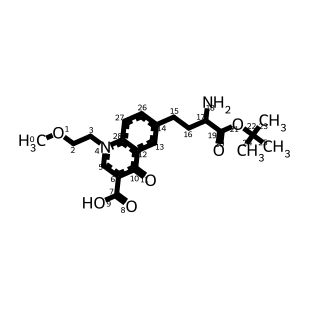 COCCn1cc(C(=O)O)c(=O)c2cc(CCC(N)C(=O)OC(C)(C)C)ccc21